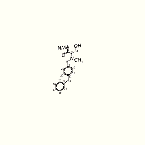 CNC(=O)[C@H](CO)N(C)Cc1ccc(Cc2ccccc2)cc1